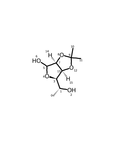 C[C@@H](O)[C@H]1OC(O)[C@H]2OC(C)(C)O[C@@H]12